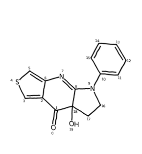 O=C1c2cscc2N=C2N(c3ccccc3)CCC12O